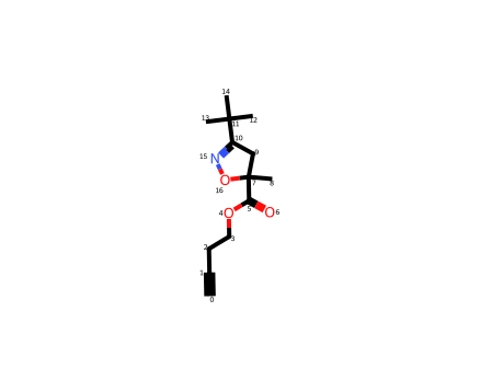 C#CCCOC(=O)C1(C)CC(C(C)(C)C)=NO1